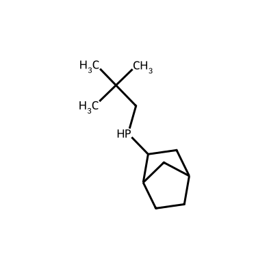 CC(C)(C)CPC1CC2CCC1C2